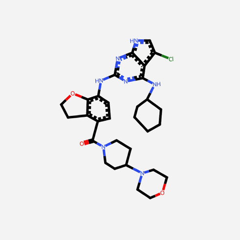 O=C(c1ccc(Nc2nc(NC3CCCCC3)c3c(Cl)c[nH]c3n2)c2c1CCO2)N1CCC(N2CCOCC2)CC1